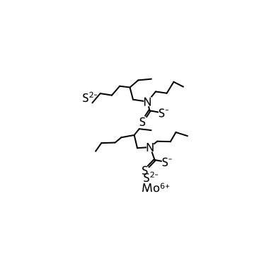 CCCCC(CC)CN(CCCC)C(=S)[S-].CCCCC(CC)CN(CCCC)C(=S)[S-].[Mo+6].[S-2].[S-2]